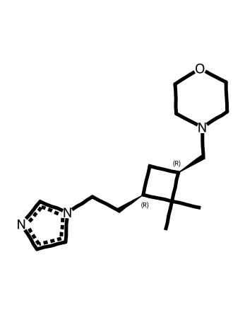 CC1(C)[C@@H](CCn2ccnc2)C[C@H]1CN1CCOCC1